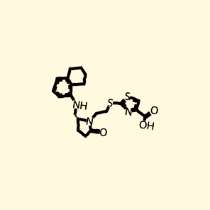 O=C(O)c1csc(SCCN2C(=O)CC[C@@H]2CNc2cccc3c2CCCC3)n1